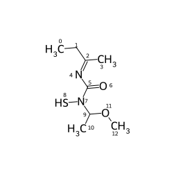 CCC(C)=NC(=O)N(S)C(C)OC